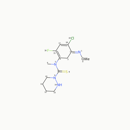 CON=C1CC(N(C)C(=S)N2CCCCN2)=C(F)C=C1Cl